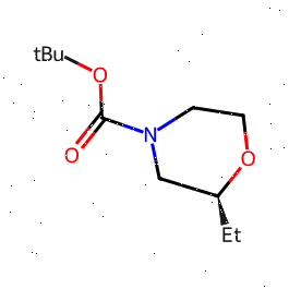 CC[C@H]1CN(C(=O)OC(C)(C)C)CCO1